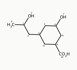 CC(O)CC1CC(O)CC(C(=O)O)C1